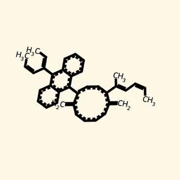 C=c1ccccc(=C)c(-c2c3ccccc3c(C(/C=C\C)=C/C)c3ccccc23)ccc1/C(C)=C/C=C\C